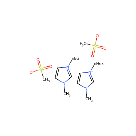 CCCCCC[n+]1ccn(C)c1.CCCC[n+]1ccn(C)c1.CS(=O)(=O)[O-].O=S(=O)([O-])C(F)(F)F